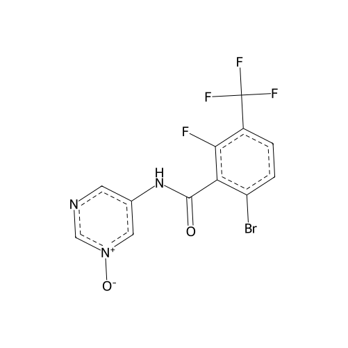 O=C(Nc1cnc[n+]([O-])c1)c1c(Br)ccc(C(F)(F)F)c1F